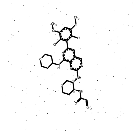 C=CC(=O)N[C@H]1CCOC[C@H]1Nc1ncc2cc(-c3c(Cl)c(OC)cc(OC)c3Cl)nc(NC3CCOCC3)c2n1